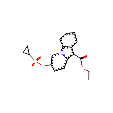 CCOC(=O)c1c2ccccc2n2cc(OS(=O)(=O)C3CC3)ccc12